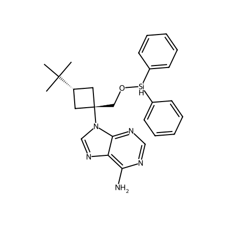 CC(C)(C)[C@H]1C[C@@](CO[SiH](c2ccccc2)c2ccccc2)(n2cnc3c(N)ncnc32)C1